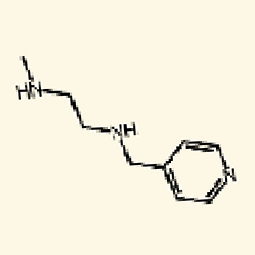 CNCCNCc1ccncc1